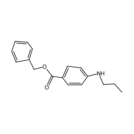 CCCNc1ccc(C(=O)OCc2ccccc2)cc1